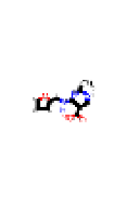 Cc1ncc(C(=O)O)c(NCc2ccco2)n1